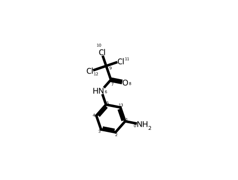 Nc1cccc(NC(=O)C(Cl)(Cl)Cl)c1